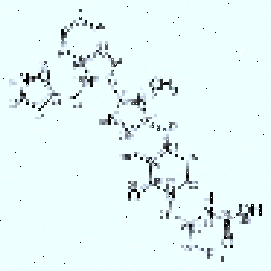 Cn1c(-c2cc3ccccc3n2Cc2ccno2)nc2cc3c(cc21)CCN(C[C@@H](CF)NC(=O)O)C3=O